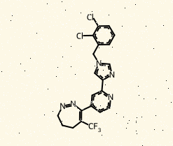 FC(F)(F)C1=C(c2ccnc(-c3cn(Cc4cccc(Cl)c4Cl)cn3)c2)N=NCCC1